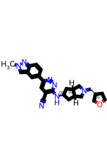 Cn1cc2cc(-c3cc(C#N)c(N[C@H]4C[C@@H]5CN(C[C@@H]6CCOC6)C[C@@H]5C4)nn3)ccc2n1